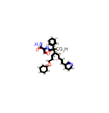 NC(=O)c1coc(C(C(=O)O)(c2ccccc2)C(CCC=Cc2cccnc2)CCCOC2CCCCC2)n1